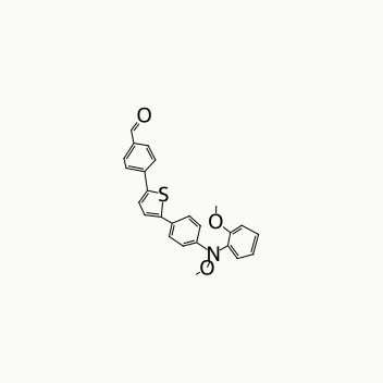 COc1ccccc1N(OC)c1ccc(-c2ccc(-c3ccc(C=O)cc3)s2)cc1